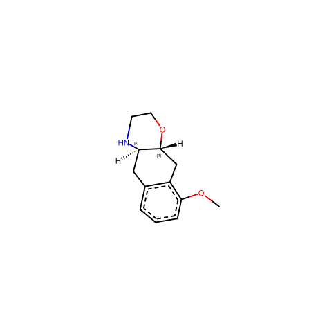 COc1cccc2c1C[C@H]1OCCN[C@@H]1C2